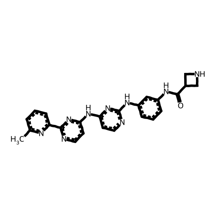 Cc1cccc(-c2nccc(Nc3ccnc(Nc4cccc(NC(=O)C5CNC5)c4)n3)n2)n1